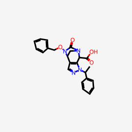 CC(c1ccccc1)n1ncc2c1C(C(=O)O)N1CC2N(OCc2ccccc2)C1=O